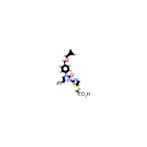 CC(C)CCN(C(=O)Nc1ncc(SCC(=O)O)s1)[C@H]1CC[C@H](COCC2CC2)CC1